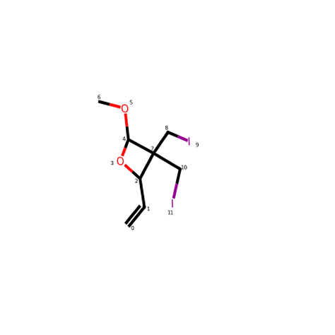 C=CC1OC(OC)C1(CI)CI